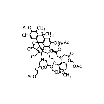 CC(=O)OCOC(=O)CN(CC(=O)OCOC(C)=O)c1ccc(C)cc1OCCOc1c(Cl)c2c(c(Cl)c1N(CC(=O)OCOC(C)=O)CC(=O)OCOC(C)=O)C(=O)OC21c2cc(Cl)c(OC(C)=O)c(Cl)c2C(C)(C)c2c1cc(Cl)c(OC(C)=O)c2Cl